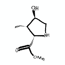 COC(=O)[C@H]1NC[C@H](O)[C@H]1C